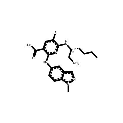 CCCC[C@H](CN)Nc1nc(Nc2ccc3c(cnn3C)c2)c(C(N)=O)cc1F